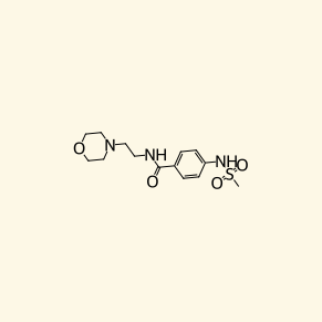 CS(=O)(=O)Nc1ccc(C(=O)NCCN2CCOCC2)cc1